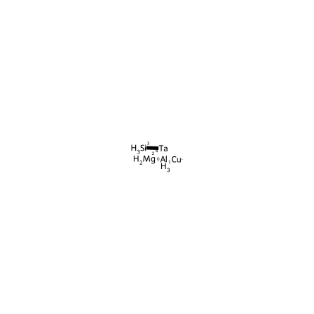 [AlH3].[Cu].[MgH2].[SiH3][Ta]